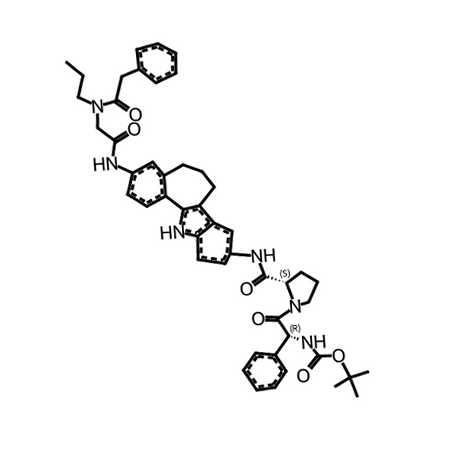 CCCN(CC(=O)Nc1ccc2c(c1)CCCc1c-2[nH]c2ccc(NC(=O)[C@@H]3CCCN3C(=O)[C@H](NC(=O)OC(C)(C)C)c3ccccc3)cc12)C(=O)Cc1ccccc1